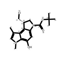 Cc1cn(C)c2c(O)cc3c(c12)[C@H](CCl)CN3C(=O)OC(C)(C)C